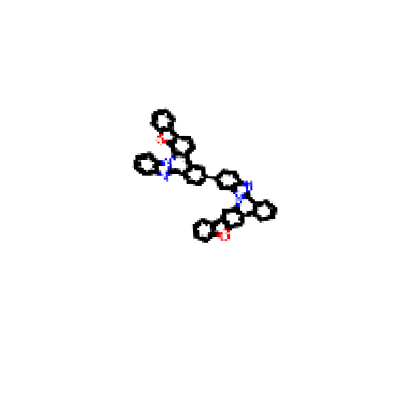 c1ccc2c(c1)nc1c3ccc(-c4ccc5nc6c7ccccc7c7cc8oc9ccccc9c8cc7n6c5c4)cc3c3ccc4c5ccccc5oc4c3n21